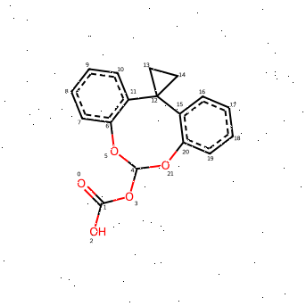 O=C(O)OC1Oc2ccccc2C2(CC2)c2ccccc2O1